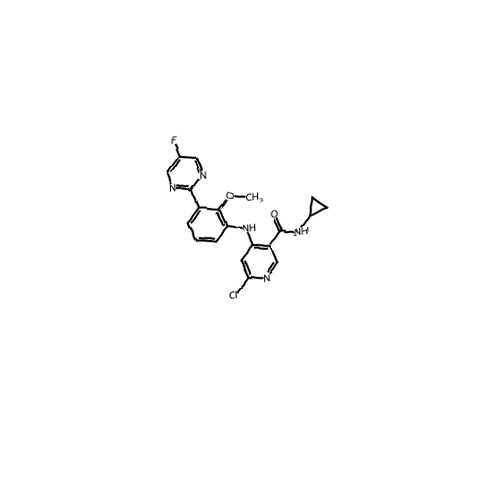 COc1c(Nc2cc(Cl)ncc2C(=O)NC2CC2)cccc1-c1ncc(F)cn1